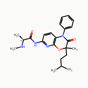 CN[C@@H](C)C(=O)Nc1ccc2c(n1)OC(C)(CCC(C)C)C(=O)N2c1ccccc1